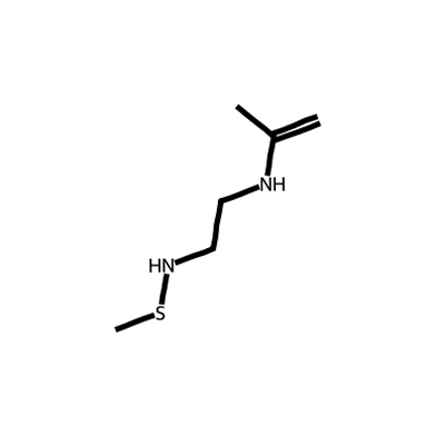 C=C(C)NCCNSC